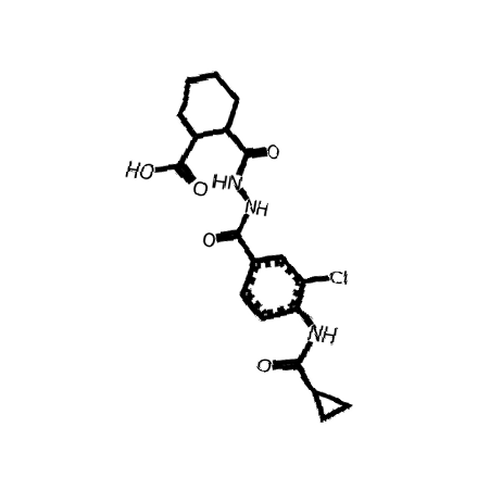 O=C(NNC(=O)C1CCCCC1C(=O)O)c1ccc(NC(=O)C2CC2)c(Cl)c1